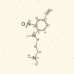 C#Cc1ccc(N(C)CCCN(C)C)c([N+](=O)[O-])c1